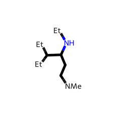 CCNC(CCNC)C(CC)CC